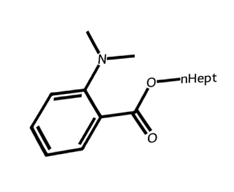 CCCCCCCOC(=O)c1ccccc1N(C)C